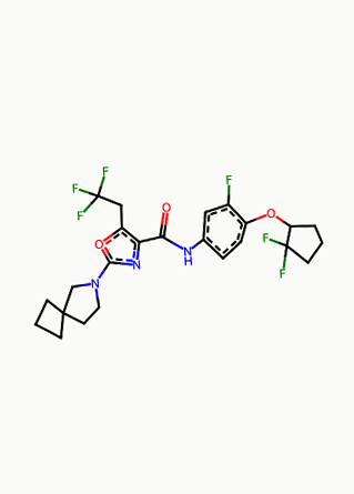 O=C(Nc1ccc(OC2CCCC2(F)F)c(F)c1)c1nc(N2CCC3(CCC3)C2)oc1CC(F)(F)F